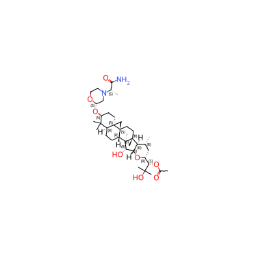 CC(=O)O[C@@H]([C@H]1C[C@@H](C)[C@H]2[C@H](O1)[C@H](O)[C@@]1(C)[C@@H]3CC[C@H]4C(C)(C)[C@@H](O[C@H]5CN([C@@H](C)C(N)=O)CCO5)CC[C@@]45C[C@@]35CC[C@]21C)C(C)(C)O